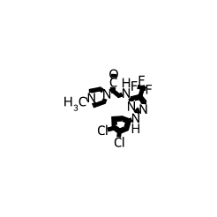 CN1CCN(C(=C=O)CNc2nc(Nc3ccc(Cl)c(Cl)c3)ncc2C(F)(F)F)CC1